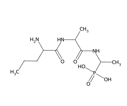 CCCC(N)C(=O)NC(C)C(=O)NC(C)P(=O)(O)O